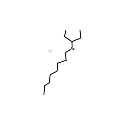 CCCCCCC[CH2][Sn][CH](CC)CC.[H-]